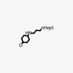 CCCCCCCCCCNC1CCC(=O)CC1